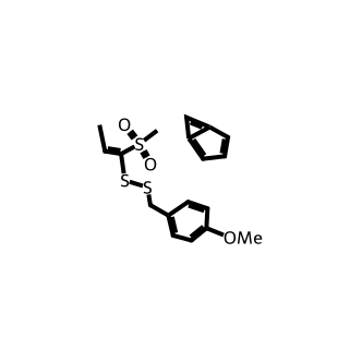 CC=C(SSCc1ccc(OC)cc1)S(C)(=O)=O.c1cc2cc-2c1